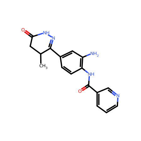 CC1CC(=O)NN=C1c1ccc(NC(=O)c2cccnc2)c(N)c1